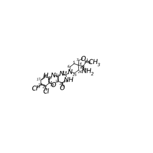 C[C@@H]1OCC2(CCN(c3nc(N)c(Oc4cccc(Cl)c4Cl)c(=O)[nH]3)CC2)[C@@H]1N